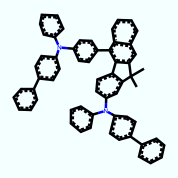 CC1(C)c2cc(N(c3ccccc3)c3ccc(-c4ccccc4)cc3)ccc2-c2c1cc1ccccc1c2-c1ccc(N(c2ccccc2)c2ccc(-c3ccccc3)cc2)cc1